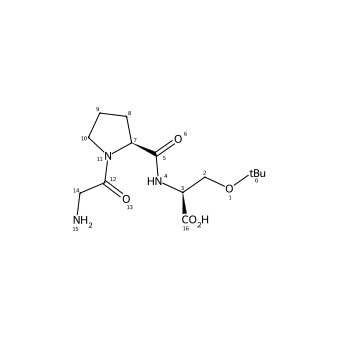 CC(C)(C)OC[C@H](NC(=O)[C@@H]1CCCN1C(=O)CN)C(=O)O